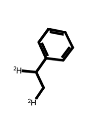 [2H]CC([2H])c1ccccc1